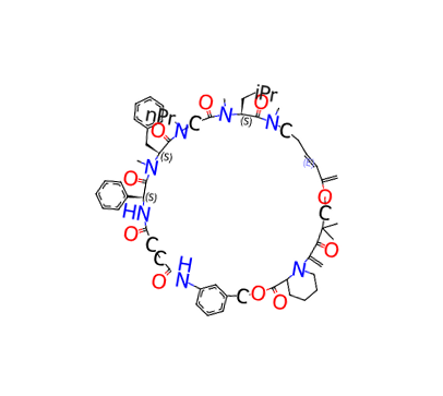 C=C1/C=C/CCN(C)C(=O)[C@H](CC(C)C)N(C)C(=O)CN(CCC)C(=O)[C@H](Cc2ccccc2)N(C)C(=O)[C@H](c2ccccc2)NC(=O)CCC(=O)Nc2cccc(c2)COC(=O)C2CCCCN2C(=C)C(=O)C(C)(C)CO1